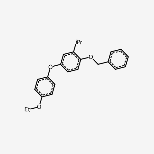 CCOc1ccc(Oc2ccc(OCc3ccccc3)c(C(C)C)c2)cc1